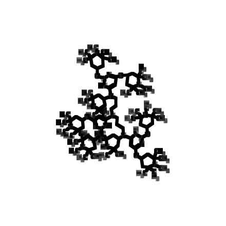 CN1C(C)(C)CC(OC2=NN(OC3CC(C)(C)N(C)C(C)(C)C3)NC(N(CCCN(C3=CC(OC4CC(C)(C)N(C)C(C)(C)C4)=NN(OC4CC(C)(C)N(C)C(C)(C)C4)N3)C3CC(C)(C)NC(C)(C)C3)CCCN(C3=CC(OC4CC(C)(C)N(C)C(C)(C)C4)=NN(OC4CC(C)(C)N(C)C(C)(C)C4)N3)C3CC(C)(C)NC(C)(C)C3)=C2)CC1(C)C